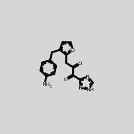 Nc1ccc(Cc2ccoc2CC(=O)C(=O)c2nc[nH]n2)cc1